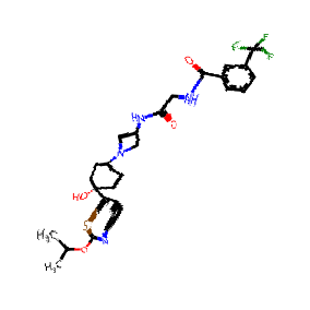 CC(C)Oc1ncc([C@]2(O)CC[C@H](N3CC(NC(=O)CNC(=O)c4cccc(C(F)(F)F)c4)C3)CC2)s1